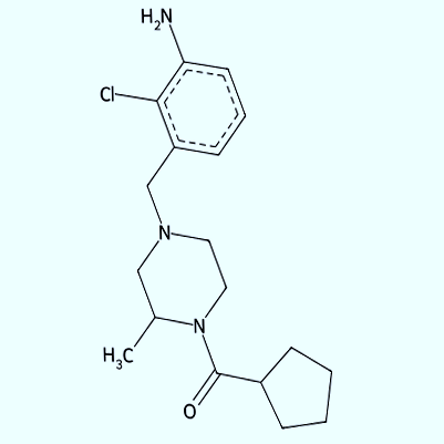 CC1CN(Cc2cccc(N)c2Cl)CCN1C(=O)C1CCCC1